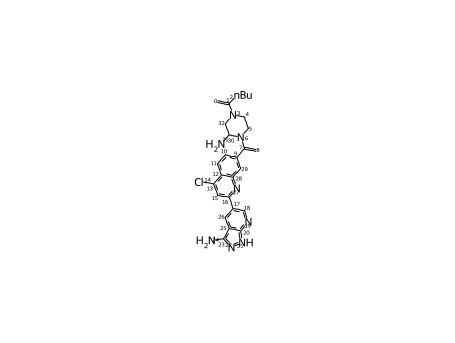 C=C(CCCC)N1CCN(C(=C)c2ccc3c(Cl)cc(-c4cnc5[nH]nc(N)c5c4)nc3c2)C(N)C1